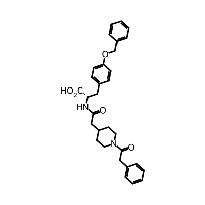 O=C(CC1CCN(C(=O)Cc2ccccc2)CC1)N[C@@H](Cc1ccc(OCc2ccccc2)cc1)C(=O)O